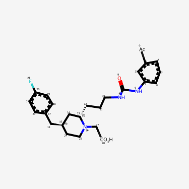 CC(=O)c1cccc(NC(=O)NCCC[C@H]2C[C@H](Cc3ccc(F)cc3)CCN2CC(=O)O)c1